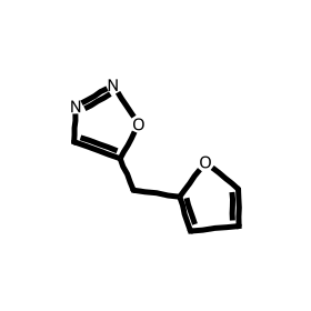 c1coc(Cc2cnno2)c1